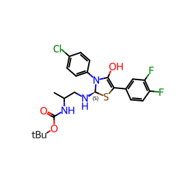 CC(CN[C@@H]1SC(c2ccc(F)c(F)c2)=C(O)N1c1ccc(Cl)cc1)NC(=O)OC(C)(C)C